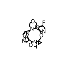 O=C1NC2(CC2)COc2ncc(F)cc2[C@@H]2CCOCCN2c2ccn3ncc1c3n2